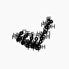 Oc1c(F)cccc1NC(=S)NC1CCCCC1.Oc1c(F)cccc1NC(=S)NCC1CCCCC1.Oc1c(F)cccc1NC(=S)NCc1ccc(C(F)(F)F)cc1.Oc1c(F)cccc1NC(=S)Nc1cc(Cl)cc(Cl)c1.Oc1c(F)cccc1NC(=S)Nc1ccc(C(F)(F)F)cc1.Oc1c(F)cccc1NC(=S)Nc1ccc(Cl)cc1.Oc1c(F)cccc1NC(=S)Nc1ccccc1C(F)(F)F